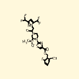 C[S+]([O-])C1CN(C(=O)Cn2nc(C(F)F)cc2C(F)F)CCN1c1nc(C(=O)OCc2c(F)cccc2Cl)cs1